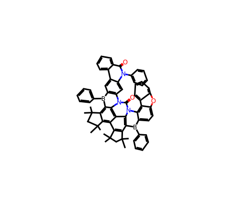 CC1(C)CC(C)(C)c2c1c1c3c4c5c(c6c(c24)C(C)(C)CC6(C)C)B(c2ccccc2)c2ccc4oc6ccccc6c4c2N5C(=O)N3c2cc3c(cc2B1c1ccccc1)c1ccccc1c(=O)n3-c1ccccc1